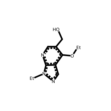 CCOc1c(CO)cnc2c1cnn2CC